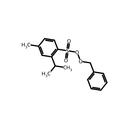 Cc1ccc(S(=O)(=O)OOCc2ccccc2)c(C(C)C)c1